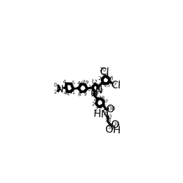 CN(C)c1ccc(-c2ccc(-c3cc(-c4cc(Cl)cc(Cl)c4)nn3Cc3ccc(C(=O)NCCC(=O)O)cc3)cc2)cc1